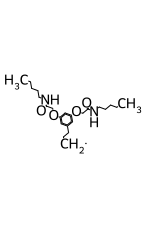 [CH2]CCc1cc(OCC(=O)NCCCCC)cc(OCC(=O)NCCCCC)c1